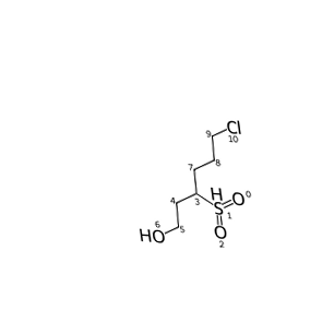 O=[SH](=O)C(CCO)CCCCl